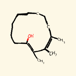 C/C1=C(C)/C(C)=C(\O)CCCCCCCC1